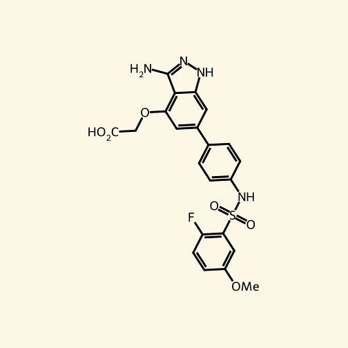 COc1ccc(F)c(S(=O)(=O)Nc2ccc(-c3cc(OCC(=O)O)c4c(N)n[nH]c4c3)cc2)c1